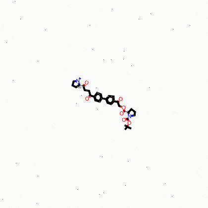 CN1CCC[C@H]1C(=O)CCC(=O)c1ccc(-c2ccc(C(=O)COC(=O)[C@@H]3CCCN3C(=O)OC(C)(C)C)cc2)cc1